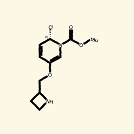 CC(C)(C)OC(=O)N1C=C(OCC2CCN2)C=C[C@@H]1Cl